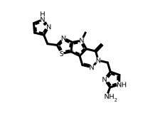 C=C1c2c(c3sc(Cc4cc[nH]n4)nc3n2C)C=NN1Cc1c[nH]c(N)n1